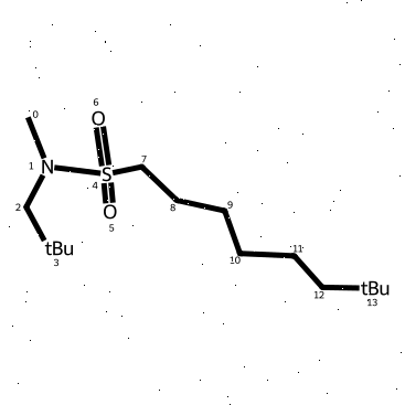 CN(CC(C)(C)C)S(=O)(=O)CCCCCCC(C)(C)C